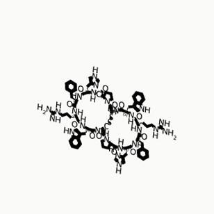 N=C(N)NCCC[C@@H]1NC(=O)[C@@H](Cc2ccccc2)NC(=O)[C@H](Cc2c[nH]cn2)NC[C@]2(C=O)CCCN2C(=O)[C@H]2NC(=O)[C@H](Cc3c[nH]c4ccccc34)NC(=O)[C@H](CCCNC(=N)N)NC(=O)[C@@H](Cc3ccccc3)NC(=O)[C@H](Cc3c[nH]cn3)NC(=O)[C@@H]3CCCN3C(=O)[C@H](CSS2)NC(=O)[C@H](Cc2c[nH]c3ccccc23)NC1=O